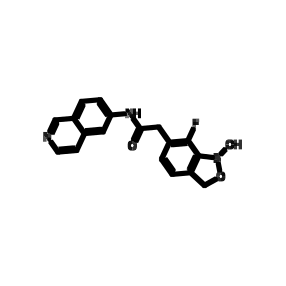 O=C(Cc1ccc2c(c1F)B(O)OC2)Nc1ccc2cnccc2c1